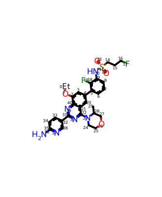 CCOc1cc(-c2cccc(NS(=O)(=O)CCCF)c2F)cc2c(N3CCOCC3C)nc(-c3ccc(N)nc3)nc12